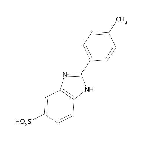 Cc1ccc(-c2nc3cc(S(=O)(=O)O)ccc3[nH]2)cc1